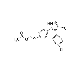 CC(=O)OCSc1ccc(-c2[nH]nc(Cl)c2-c2ccc(Cl)cc2)cc1